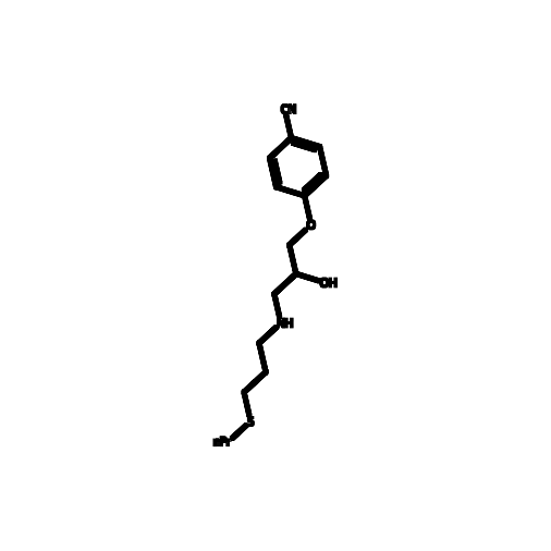 CCCSCCCNCC(O)COc1ccc(C#N)cc1